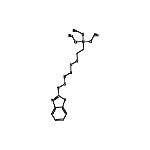 CCC(C)O[Si](CCSSSSSSc1nc2ccccc2s1)(OC(C)CC)OC(C)CC